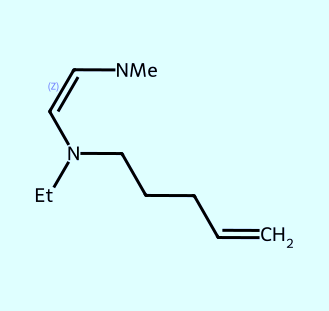 C=CCCCN(/C=C\NC)CC